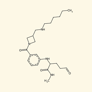 CCCCCCNCC1CN(C(=O)c2cccc(NC(CCC=O)C(=O)NC)c2)C1